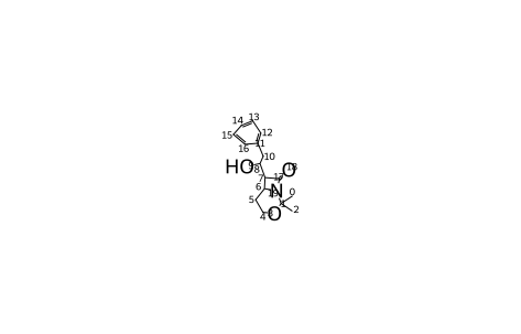 CC1(C)OCCC2C(C(O)Cc3ccccc3)C(=O)N21